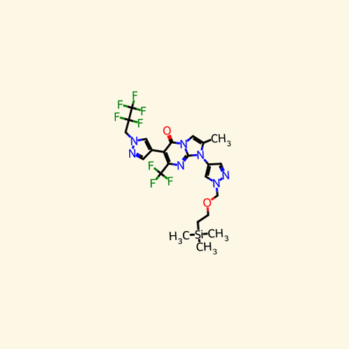 Cc1cn2c(=O)c(-c3cnn(CC(F)(F)C(F)(F)F)c3)c(C(F)(F)F)nc2n1-c1cnn(COCC[Si](C)(C)C)c1